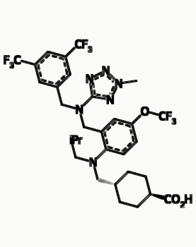 CC(C)CN(C[C@H]1CC[C@H](C(=O)O)CC1)c1ccc(OC(F)(F)F)cc1CN(Cc1cc(C(F)(F)F)cc(C(F)(F)F)c1)c1nnn(C)n1